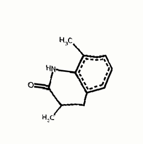 Cc1cccc2c1NC(=O)C(C)C2